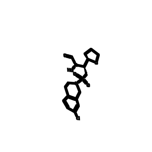 O=CN(O)[C@@H](CS(=O)(=O)N1CCc2ccc(Cl)cc2C1)[C@H]1CCCO1